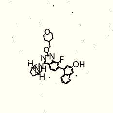 Oc1cc(-c2ccc3c(N4C[C@H]5CC[C@@H](C4)N5)nc(OCC4CCOCC4)nc3c2F)c2ccccc2c1